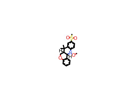 CON1c2ccc(S(C)(=O)=O)cc2C(C)(C)[C@H]2COc3ccccc3[C@H]21